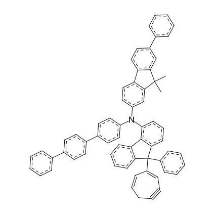 CC1(C)c2cc(-c3ccccc3)ccc2-c2ccc(N(c3ccc(-c4ccc(-c5ccccc5)cc4)cc3)c3cccc4c3-c3ccccc3C4(C3=CC#CCC=C3)c3ccccc3)cc21